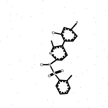 Cc1ccccc1S(=O)(=O)N(Cl)c1ccc(-c2ccc(F)cc2Cl)c(C)n1